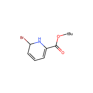 CC(C)(C)OC(=O)C1=CC=CC(Br)N1